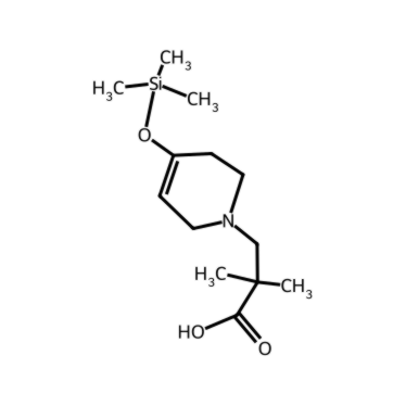 CC(C)(CN1CC=C(O[Si](C)(C)C)CC1)C(=O)O